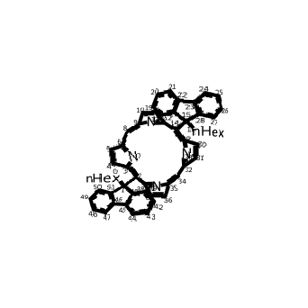 CCCCCCC1(C2=C3C=CC(=N3)C=C3C=CC(=N3)C(C3(CCCCCC)c4ccccc4-c4ccccc43)=C3C=CC(=N3)C=C3C=CC2=N3)c2ccccc2-c2ccccc21